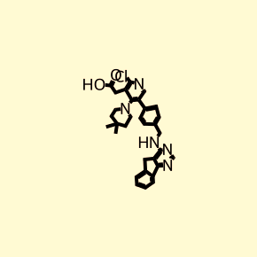 CC1(C)CCN(c2c(-c3ccc(CNc4ncnc5c4Cc4ccccc4-5)cc3)cnc(Cl)c2CC(=O)O)CC1